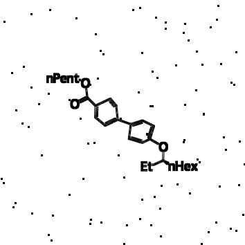 CCCCCC[C@@H](CC)Oc1ccc(-c2ccc(C(=O)OCCCCC)cc2)cc1